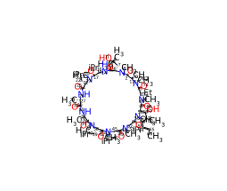 C=C1C(=O)N(C)[C@@H](CC(C)(C)O)C(=O)N[C@@H](C(C)C)C(=O)N(C)[C@@H](CC(C)C)C(=O)N[C@@H](C)C(=O)N[C@H](C)C(=O)N(C)[C@@H](CC(C)C)C(=O)N(C)[C@@H](CC(C)C)C(=O)N(C)[C@@H](C(C)C)C(=O)N(C)[C@@H]([C@H](O)[C@H](C)C/C=C/C)C(=O)N(C)[C@@H](CC)C(=O)N1C